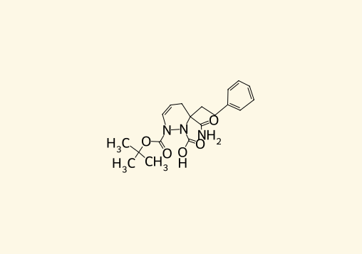 CC(C)(C)OC(=O)N1C=CCC(CCc2ccccc2)(C(N)=O)N1C(=O)O